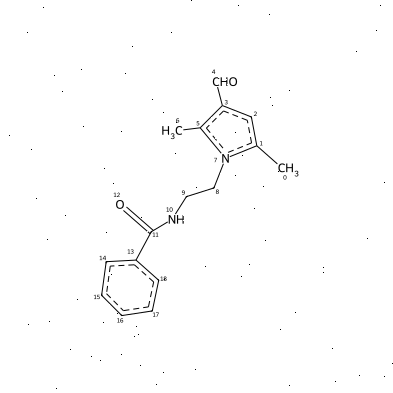 Cc1cc(C=O)c(C)n1CCNC(=O)c1ccccc1